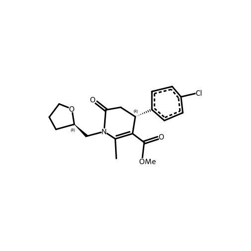 COC(=O)C1=C(C)N(C[C@H]2CCCO2)C(=O)C[C@@H]1c1ccc(Cl)cc1